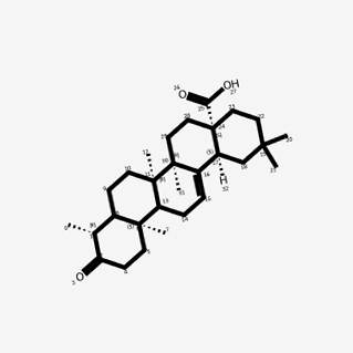 C[C@H]1C(=O)CC[C@@]2(C)C1CC[C@]1(C)C2CC=C2[C@@H]3CC(C)(C)CC[C@]3(C(=O)O)CC[C@@]21C